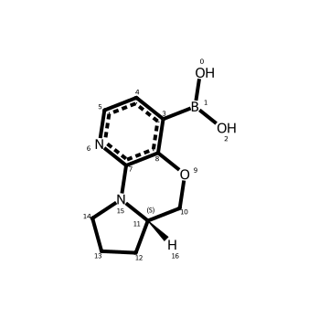 OB(O)c1ccnc2c1OC[C@@H]1CCCN21